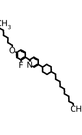 CCCCCCCCCCC1CCC(c2ccc(-c3ccc(OCCCCCCC)cc3F)nc2)CC1